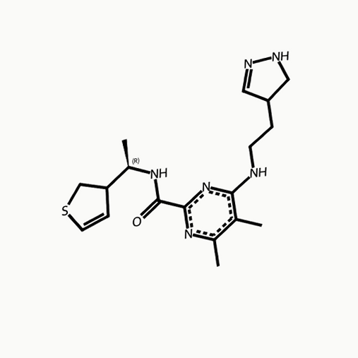 Cc1nc(C(=O)N[C@H](C)C2C=CSC2)nc(NCCC2C=NNC2)c1C